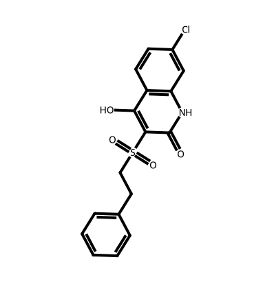 O=c1[nH]c2cc(Cl)ccc2c(O)c1S(=O)(=O)CCc1ccccc1